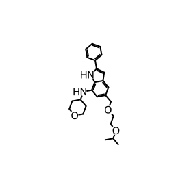 CC(C)OCCOCc1cc(NC2CCOCC2)c2[nH]c(-c3ccccc3)cc2c1